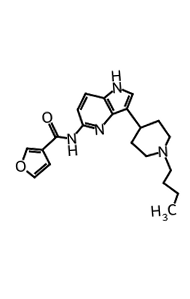 CCCCN1CCC(c2c[nH]c3ccc(NC(=O)c4ccoc4)nc23)CC1